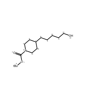 CC(C)(C)OC(=O)N1CCC(CCCCCO)CC1